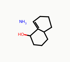 N.OC1CCCC2CCCC=C12